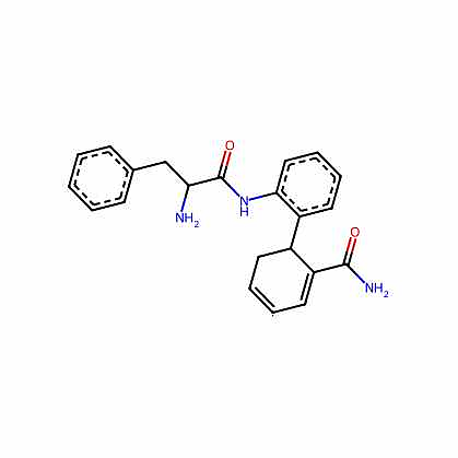 NC(=O)C1=C[C]=CCC1c1ccccc1NC(=O)C(N)Cc1ccccc1